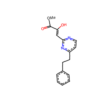 COC(=O)C(O)=Cc1nccc(CCc2ccccc2)n1